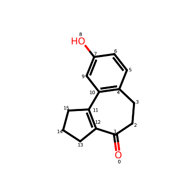 O=C1CCc2ccc(O)cc2C2=C1CCC2